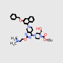 CN(C)CCOc1nc2c(c(N3CCN(C(=O)OC(C)(C)C)[C@H](CO)C3)n1)CCN(c1cc(OCc3ccccc3)cc3ccccc13)C2